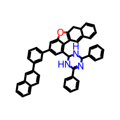 C1=CC2=Cc3c(oc4cc(-c5cccc(-c6ccc7ccccc7c6)c5)cc(C5NC(c6ccccc6)=NC(c6ccccc6)N5)c34)CC2C=C1